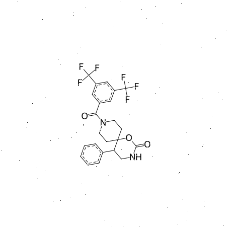 O=C1NCC(c2ccccc2)C2(CCN(C(=O)c3cc(C(F)(F)F)cc(C(F)(F)F)c3)CC2)O1